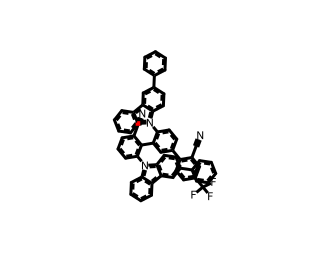 N#Cc1cc(C(F)(F)F)ccc1-c1ccc(-n2c3ccccc3c3cc(-c4ccccc4)ccc32)c(-c2c(C#N)cccc2-n2c3ccccc3c3cc(-c4ccccc4)ccc32)c1